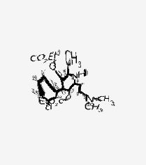 CCOC(=O)OC1=C(C)NC(C=CN(C)C)=C(OC(=O)OCC)C1c1cccc(Cl)c1